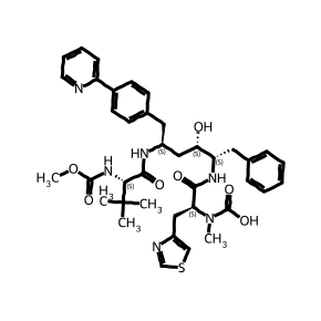 COC(=O)N[C@H](C(=O)N[C@@H](Cc1ccc(-c2ccccn2)cc1)C[C@H](O)[C@H](Cc1ccccc1)NC(=O)[C@H](Cc1cscn1)N(C)C(=O)O)C(C)(C)C